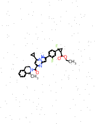 CCOC(=O)C1C[C@@]1(F)c1ccc(-c2cc3nc(C(=O)N4CCc5ccccc5[C@H]4C)cc(C4CC4)n3n2)c(F)c1